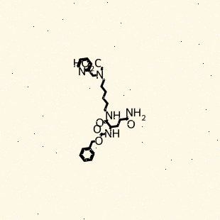 NC(=O)CCC(NC(=O)OCc1ccccc1)C(=O)NCCCCCCN(CC(=O)O)Cc1ccccn1